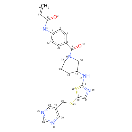 C=CC(=O)Nc1ccc(C(=O)N2CCCC(Nc3ncc(SCc4cncnc4)s3)C2)cc1